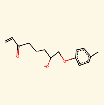 C=CC(=O)CCCC(O)COc1ccc(C)cc1